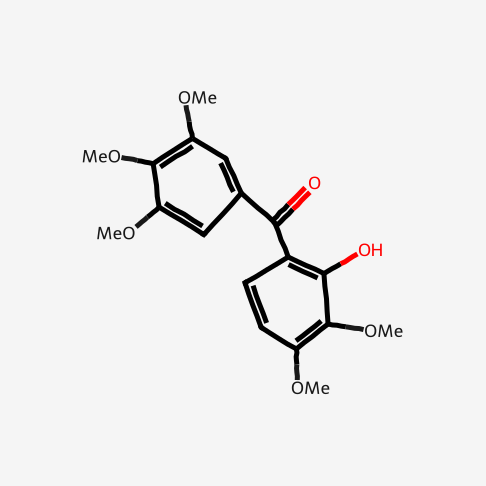 COc1cc(C(=O)c2ccc(OC)c(OC)c2O)cc(OC)c1OC